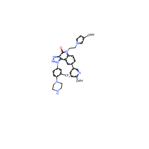 COc1ccn(CCn2c(=O)c3nnn(-c4ccc(N5CCNCC5)c(C(F)(F)F)c4)c3c3cc(-c4ccc(OC)nc4)ccc32)c1